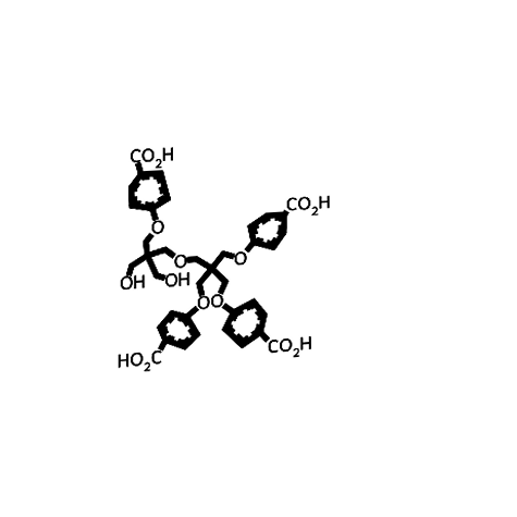 O=C(O)c1ccc(OCC(CO)(CO)COCC(COc2ccc(C(=O)O)cc2)(COc2ccc(C(=O)O)cc2)COc2ccc(C(=O)O)cc2)cc1